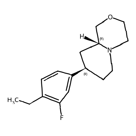 CCc1ccc([C@@H]2CCN3CCOC[C@H]3C2)cc1F